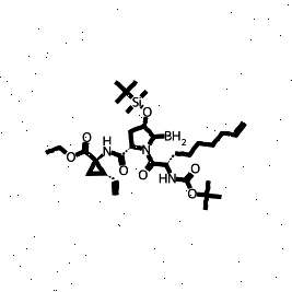 BC1C(O[Si](C)(C)C(C)(C)C)C[C@@H](C(=O)N[C@]2(C(=O)OCC)C[C@H]2C=C)N1C(=O)[C@H](CCCCCC=C)NC(=O)OC(C)(C)C